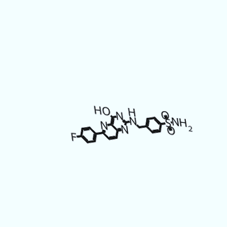 NS(=O)(=O)c1ccc(CNc2nc(O)c3nc(-c4ccc(F)cc4)ccc3n2)cc1